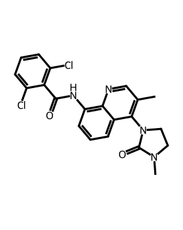 Cc1cnc2c(NC(=O)c3c(Cl)cccc3Cl)cccc2c1N1CCN(C)C1=O